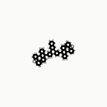 c1cc(-c2cc3ccccc3cc2-c2cccc(-c3c4ccccc4c(-c4cccc5oc6ccccc6c45)c4ccccc34)c2)cc(-c2c3ccccc3c(-c3cccc4oc5ccccc5c34)c3ccccc23)c1